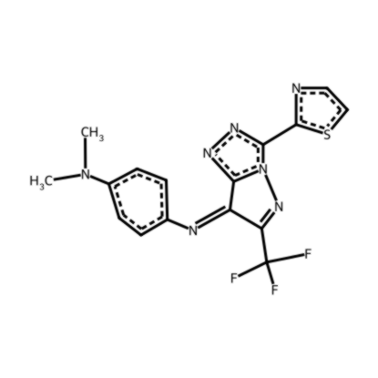 CN(C)c1ccc(N=C2C(C(F)(F)F)=Nn3c2nnc3-c2nccs2)cc1